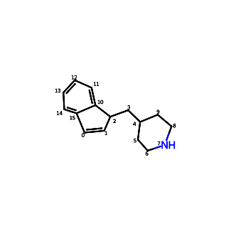 C1=CC(CC2CCNCC2)c2ccccc21